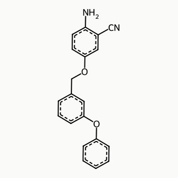 N#Cc1cc(OCc2cccc(Oc3ccccc3)c2)ccc1N